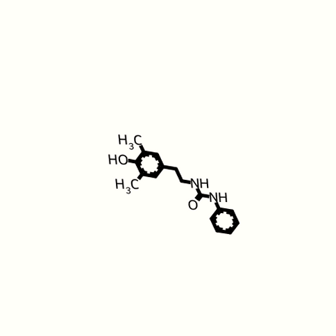 Cc1cc(CCNC(=O)Nc2ccccc2)cc(C)c1O